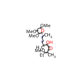 CC[C@H](OC)[C@@H](C)[C@H]1O[C@@H]1[C@H](O)[C@@H](C)/C=C/C=C(\C)[C@H]1O[C@@H](OC)C[C@H](OC)[C@@H]1OC